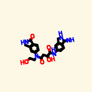 N=C1NCc2cc(NC(=O)[C@H](O)CC(=O)N(CCO)c3ccc4c(c3)CNC4=O)ccc21